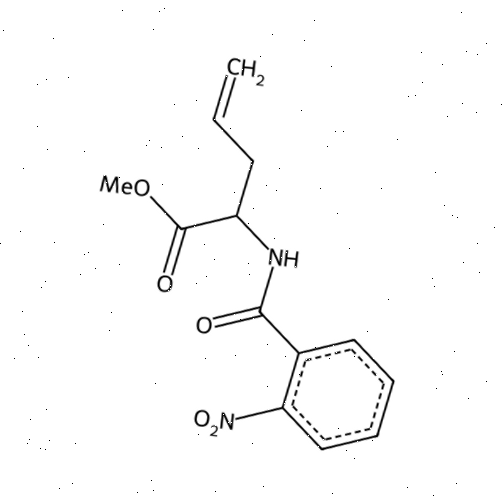 C=CCC(NC(=O)c1ccccc1[N+](=O)[O-])C(=O)OC